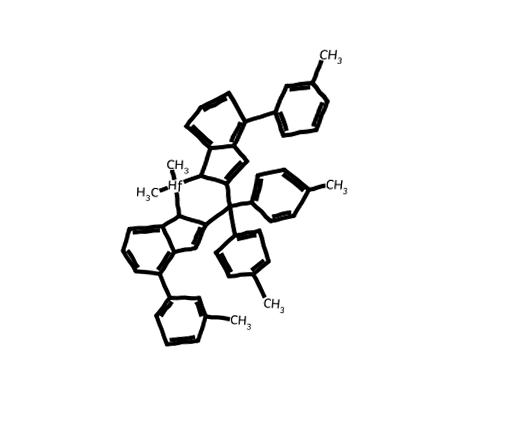 Cc1ccc(C2(c3ccc(C)cc3)C3=Cc4c(-c5cccc(C)c5)cccc4[CH]3[Hf]([CH3])([CH3])[CH]3C2=Cc2c(-c4cccc(C)c4)cccc23)cc1